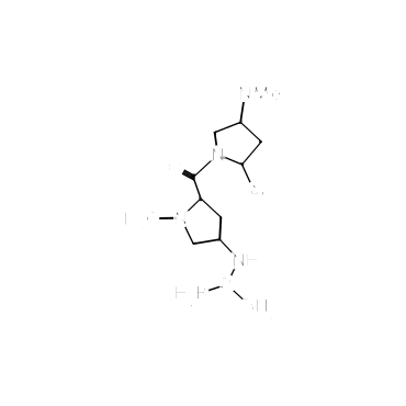 BB(B)NC1CC(C(=O)N2CC(NC)CC2C(C)=O)N(C)C1